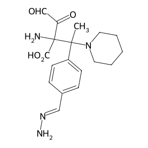 CC(c1ccc(C=NN)cc1)(N1CCCCC1)C(N)(C(=O)O)C(=O)C=O